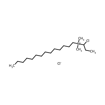 CCCCCCCCCCCCCC[N+](C)(C)C(Cl)CC.[Cl-]